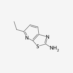 CCc1ccc2nc(N)sc2n1